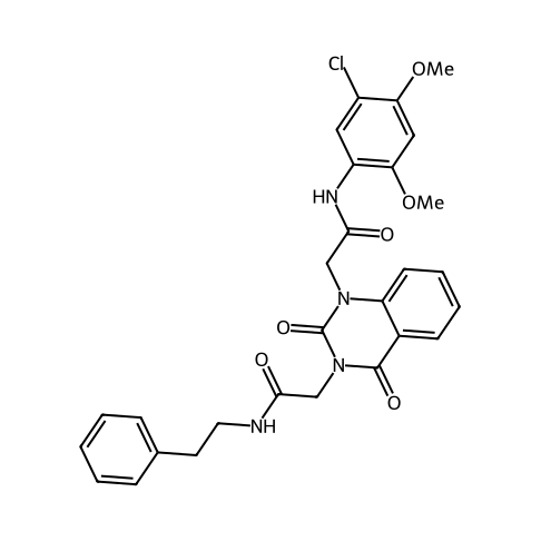 COc1cc(OC)c(NC(=O)Cn2c(=O)n(CC(=O)NCCc3ccccc3)c(=O)c3ccccc32)cc1Cl